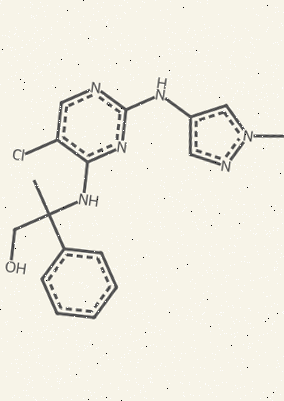 Cn1cc(Nc2ncc(Cl)c(NC(C)(CO)c3ccccc3)n2)cn1